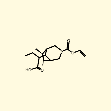 C=COC(=O)N1CC2C(C(CC)C(=O)O)C(C1)[C@H](C)[C@H]2C